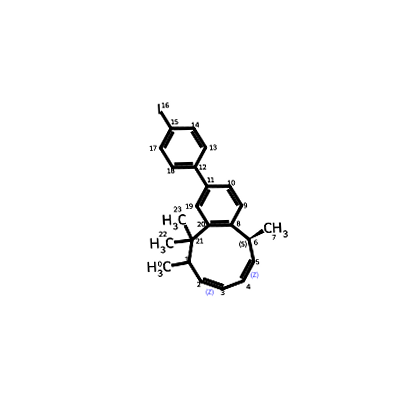 CC1/C=C\C=C/[C@H](C)c2ccc(-c3ccc(I)cc3)cc2C1(C)C